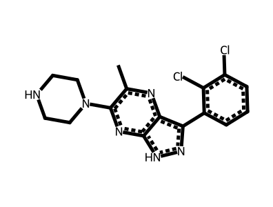 Cc1nc2c(-c3cccc(Cl)c3Cl)n[nH]c2nc1N1CCNCC1